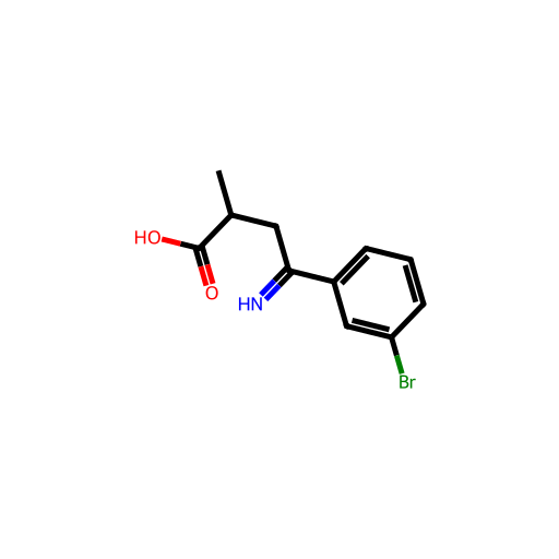 CC(CC(=N)c1cccc(Br)c1)C(=O)O